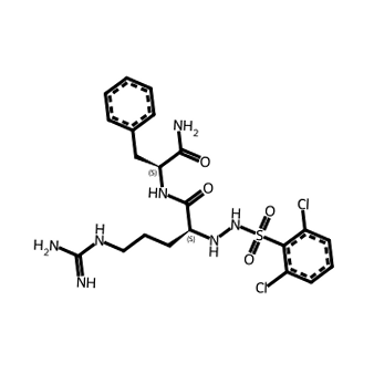 N=C(N)NCCC[C@H](NNS(=O)(=O)c1c(Cl)cccc1Cl)C(=O)N[C@@H](Cc1ccccc1)C(N)=O